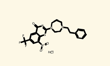 Cl.O=c1nc(N2CCCN(CCc3ccccc3)CC2)sc2c([N+](=O)[O-])cc(C(F)(F)F)cc12